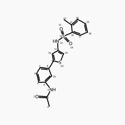 CC(=O)Nc1cccc(-c2cc(NS(=O)(=O)c3ccccc3C)cs2)c1